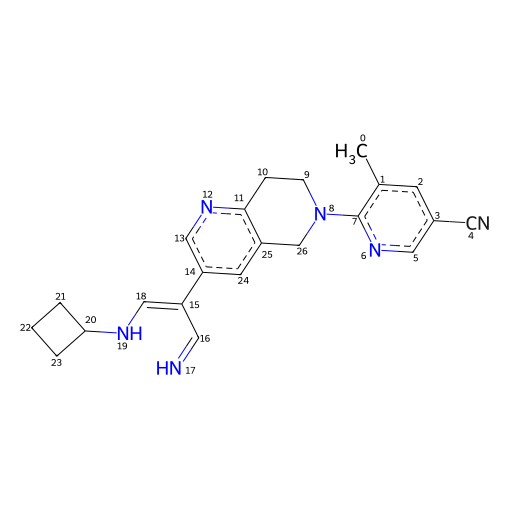 Cc1cc(C#N)cnc1N1CCc2ncc(/C(C=N)=C/NC3CCC3)cc2C1